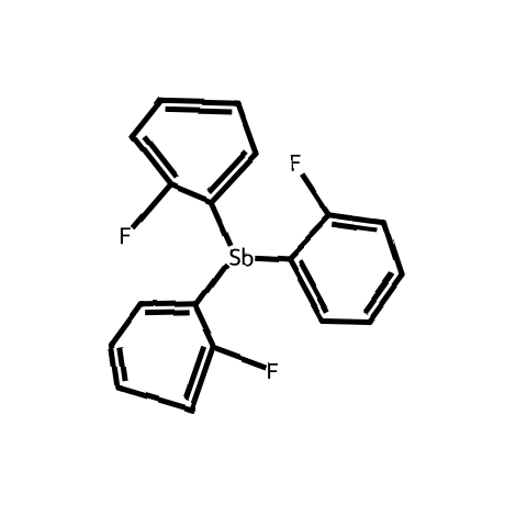 Fc1cccc[c]1[Sb]([c]1ccccc1F)[c]1ccccc1F